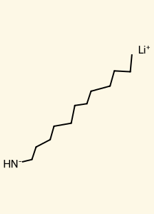 CCCCCCCCCCCC[NH-].[Li+]